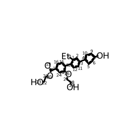 CCc1cc(-c2ccc(O)cc2)ccc1-c1ccc(C(=O)OCCO)cc1OCCO